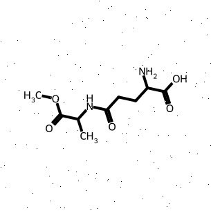 COC(=O)C(C)NC(=O)CCC(N)C(=O)O